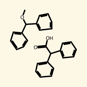 COC(c1ccccc1)c1ccccc1.O=C(O)C(c1ccccc1)c1ccccc1